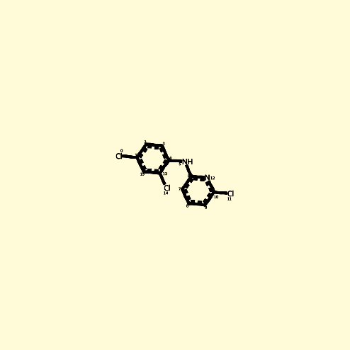 Clc1ccc(Nc2cccc(Cl)n2)c(Cl)c1